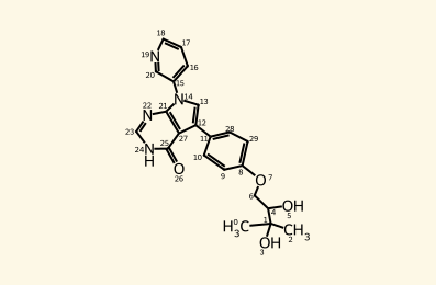 CC(C)(O)C(O)COc1ccc(-c2cn(-c3cccnc3)c3nc[nH]c(=O)c23)cc1